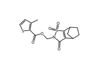 Cc1ccsc1C(=O)OCN1C(=O)C2=C(C3CCC2C3)S1(=O)=O